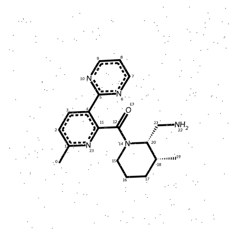 Cc1ccc(-c2ncccn2)c(C(=O)N2CCC[C@@H](C)[C@H]2CN)n1